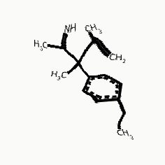 C=C(C)C(C)(C(C)=N)c1ccc(CC)cc1